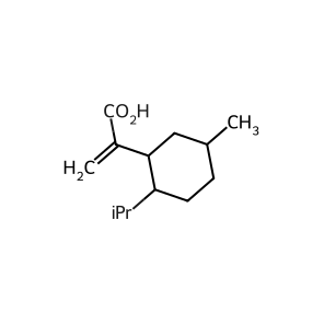 C=C(C(=O)O)C1CC(C)CCC1C(C)C